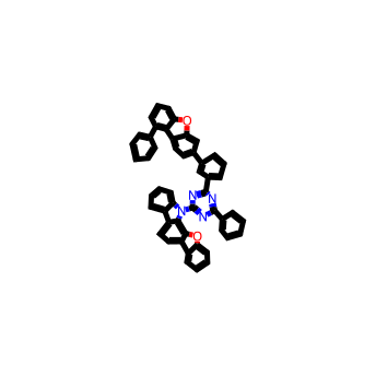 c1ccc(-c2nc(-c3cccc(-c4ccc5c(c4)oc4cccc(-c6ccccc6)c45)c3)nc(-n3c4ccccc4c4ccc5c6ccccc6oc5c43)n2)cc1